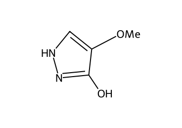 COc1c[nH]nc1O